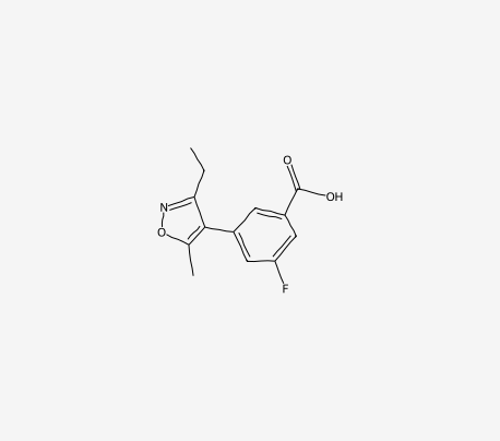 CCc1noc(C)c1-c1cc(F)cc(C(=O)O)c1